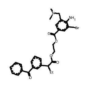 CCC(C(=O)OCCOC(=O)c1cc(Br)c(N)c(CN(C)C)c1)c1cccc(C(=O)c2ccccc2)c1